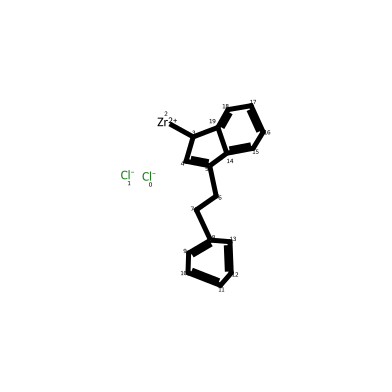 [Cl-].[Cl-].[Zr+2][CH]1C=C(CCc2ccccc2)c2ccccc21